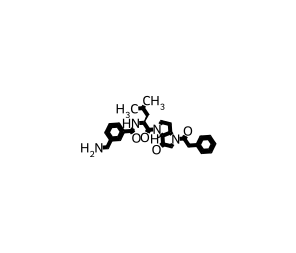 CC(C)C[C@H](NC(=O)c1cccc(CN)c1)C(=O)N1CCC2[C@H]1C(=O)CN2C(=O)Cc1ccccc1